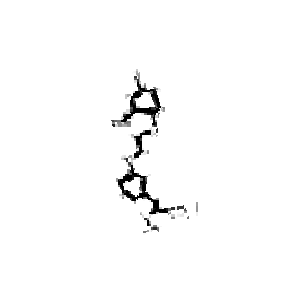 CC(C)OC(Cc1cccc(OCCOc2ccc(Cl)cc2Cl)c1)C(=O)O